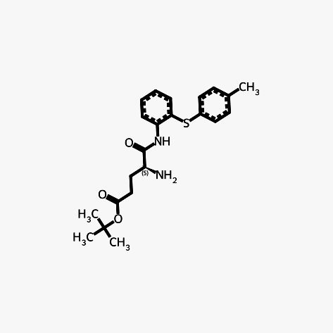 Cc1ccc(Sc2ccccc2NC(=O)[C@@H](N)CCC(=O)OC(C)(C)C)cc1